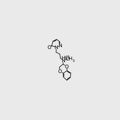 CN(CCCn1ncccc1=O)C1COc2ccccc2O1.Cl